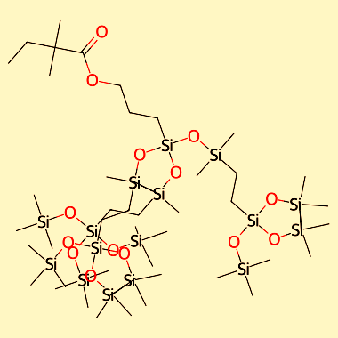 CCC(C)(C)C(=O)OCCC[Si](O[Si](C)(C)CC[Si](O[Si](C)(C)C)(O[Si](C)(C)C)O[Si](C)(C)C)(O[Si](C)(C)CC[Si](O[Si](C)(C)C)(O[Si](C)(C)C)O[Si](C)(C)C)O[Si](C)(C)CC[Si](O[Si](C)(C)C)(O[Si](C)(C)C)O[Si](C)(C)C